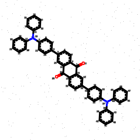 O=C1c2ccc(-c3ccc(N(c4ccccc4)c4ccccc4)cc3)cc2C(=O)c2ccc(-c3ccc(N(c4ccccc4)c4ccccc4)cc3)cc21